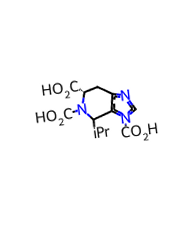 CC(C)C1c2c(ncn2C(=O)O)C[C@@H](C(=O)O)N1C(=O)O